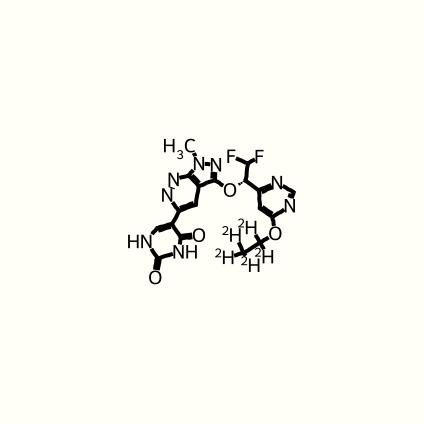 [2H]C([2H])([2H])C([2H])([2H])Oc1cc([C@H](Oc2nn(C)c3nnc(-c4c[nH]c(=O)[nH]c4=O)cc23)C(F)F)ncn1